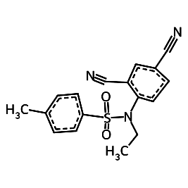 CCN(c1ccc(C#N)cc1C#N)S(=O)(=O)c1ccc(C)cc1